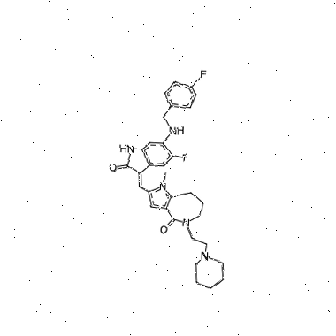 Cn1c(C=C2C(=O)Nc3cc(NCc4ccc(F)cc4)c(F)cc32)cc2c1CCCN(CCN1CCCCC1)C2=O